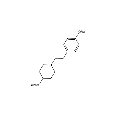 CCCCCC1CC=C(CCc2ccc(OC)cc2)CC1